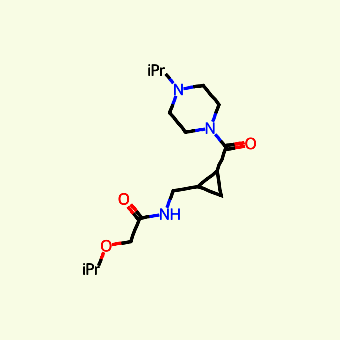 CC(C)OCC(=O)NCC1CC1C(=O)N1CCN(C(C)C)CC1